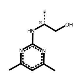 Cc1cc(C)nc(N[C@H](C)CO)n1